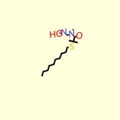 CCCCCCCCCCSC(C)(C)C(=O)N(C)C=NO